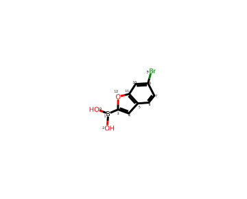 OB(O)c1cc2ccc(Br)cc2o1